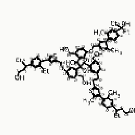 CCc1cc(C(CC)CCO)ccc1-c1csc(COc2ccc(CO)c(C(O)(C(O)c3cc(CCc4cc(-c5ccc(C(CC)CCO)cc5C)c(C)s4)ccc3CO)C(O)c3cc(OCc4cc(-c5ccc(C(O)(CC)CC)cc5C)c(C)s4)ccc3CO)c2)c1